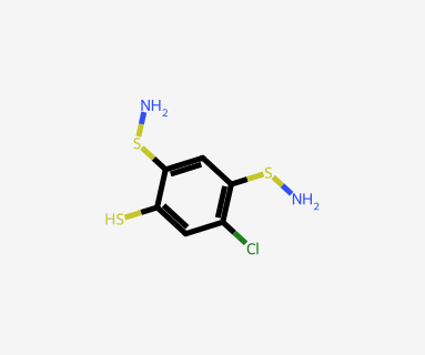 NSc1cc(SN)c(Cl)cc1S